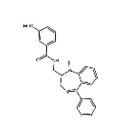 COc1cccc(C(=O)NCC2CN=C(c3ccccc3)c3ccccc3N2C)c1